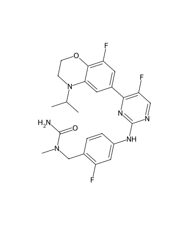 CC(C)N1CCOc2c(F)cc(-c3nc(Nc4ccc(CN(C)C(N)=O)c(F)c4)ncc3F)cc21